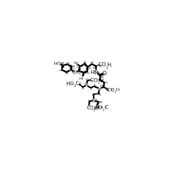 O=C(O)CN(CCN(CCN(CC(=O)O)CC(=O)O)C(CCC(=O)N[C@@H](Cc1cc(I)c(Oc2ccc(O)cc2)c(I)c1)C(=O)O)C(=O)O)CC(=O)O